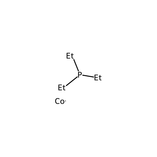 CCP(CC)CC.[Co]